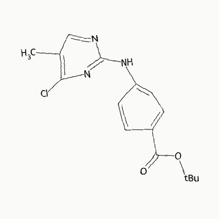 Cc1cnc(Nc2ccc(C(=O)OC(C)(C)C)cc2)nc1Cl